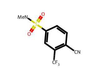 CNS(=O)(=O)c1ccc(C#N)c(C(F)(F)F)c1